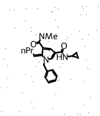 CCC/C=C1\C(C(=O)NC)=CC(C(=O)NC2CC2)=CN1Cc1ccccc1